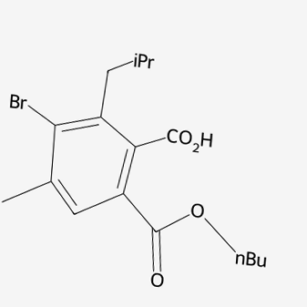 CCCCOC(=O)c1cc(C)c(Br)c(CC(C)C)c1C(=O)O